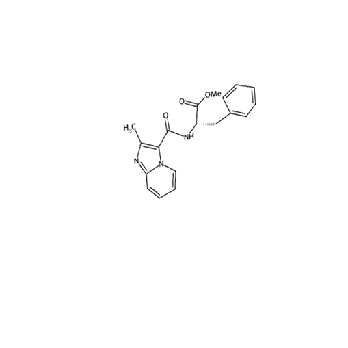 COC(=O)[C@H](Cc1ccccc1)NC(=O)c1c(C)nc2ccccn12